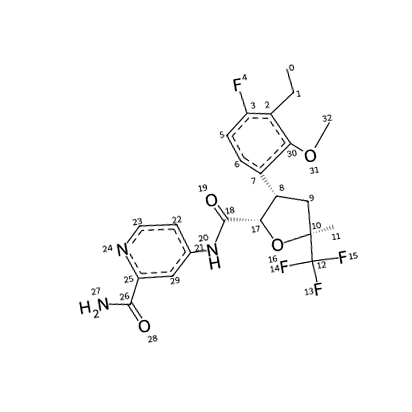 CCc1c(F)ccc([C@@H]2C[C@@](C)(C(F)(F)F)O[C@@H]2C(=O)Nc2ccnc(C(N)=O)c2)c1OC